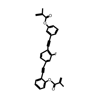 C=C(C)C(=O)Oc1cccc(C#Cc2ccc(C#Cc3ccccc3OC(=O)C(=C)C)cc2F)c1